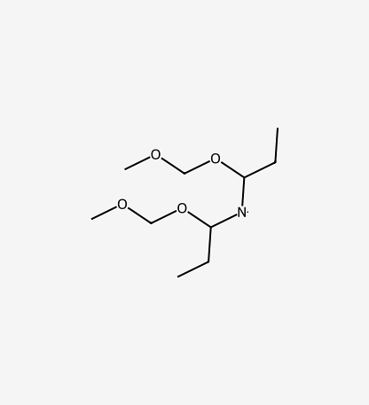 CCC([N]C(CC)OCOC)OCOC